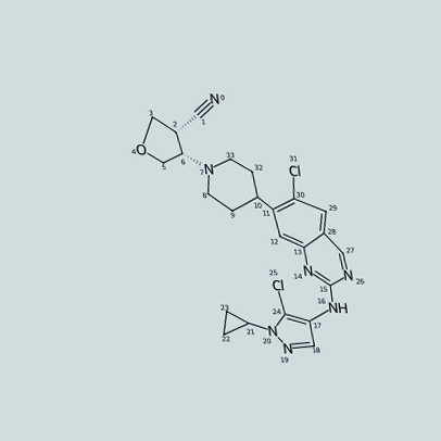 N#C[C@H]1COC[C@H]1N1CCC(c2cc3nc(Nc4cnn(C5CC5)c4Cl)ncc3cc2Cl)CC1